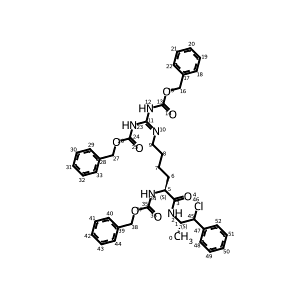 C[C@H](NC(=O)[C@H](CCCCN=C(NC(=O)OCc1ccccc1)NC(=O)OCc1ccccc1)NC(=O)OCc1ccccc1)C(Cl)c1ccccc1